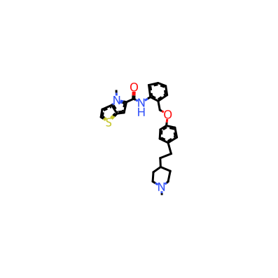 CN1CCC(CCc2ccc(OCc3ccccc3NC(=O)c3cc4sccc4n3C)cc2)CC1